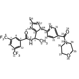 CC(NC(=O)c1cc(C(F)(F)F)cc(C(F)(F)F)c1)c1nc(I)nn1-c1ccc(C(=O)N2CCOCC2)cn1